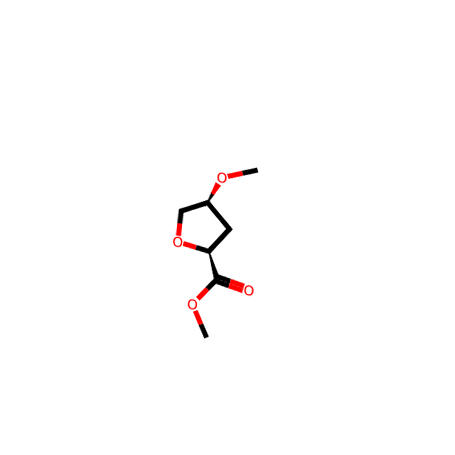 COC(=O)[C@@H]1C[C@H](OC)CO1